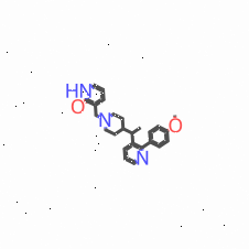 COc1ccc(-c2ncccc2C(C)C2CCN(Cc3ccc[nH]c3=O)CC2)cc1